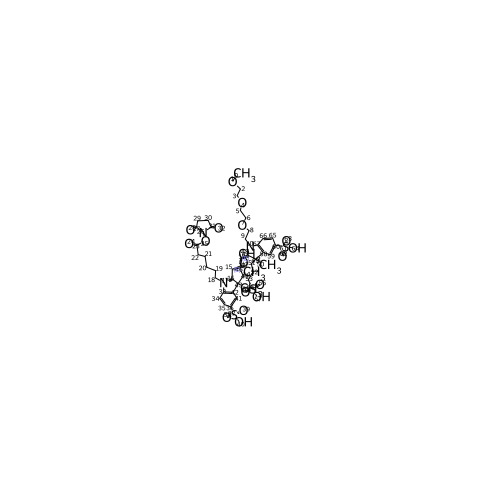 COCCOCCOCCN1/C(=C/C(C)=C/C2=[N+](CCCCCC(=O)ON3C(=O)CCC3=O)c3ccc(S(=O)(=O)O)cc3C2(C)CCOC)C(C)(CCCS(=O)(=O)O)c2cc(S(=O)(=O)O)ccc21